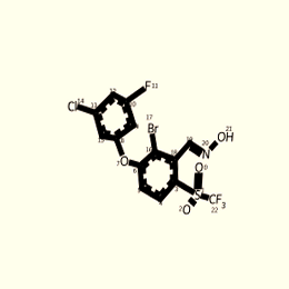 O=S(=O)(c1ccc(Oc2cc(F)cc(Cl)c2)c(Br)c1C=NO)C(F)(F)F